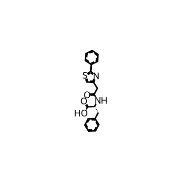 O=C(Cc1csc(-c2ccccc2)n1)N[C@H](Cc1ccccc1)C(=O)O